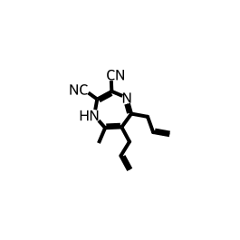 C=CCC1=NC(C#N)=C(C#N)NC(C)=C1CC=C